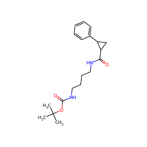 CC(C)(C)OC(=O)NCCCCNC(=O)C1CC1c1ccccc1